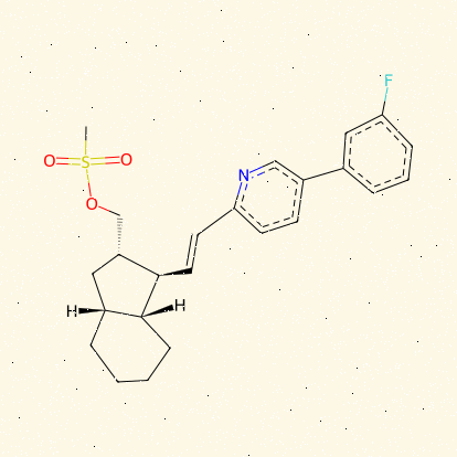 CS(=O)(=O)OC[C@H]1C[C@H]2CCCC[C@H]2[C@@H]1/C=C/c1ccc(-c2cccc(F)c2)cn1